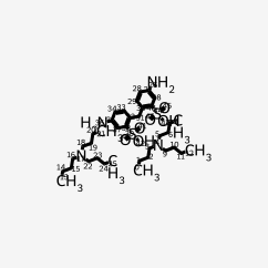 CCCCN(CCCC)CCCC.CCCCN(CCCC)CCCC.Nc1ccc(Cc2ccc(N)cc2S(=O)(=O)O)c(S(=O)(=O)O)c1